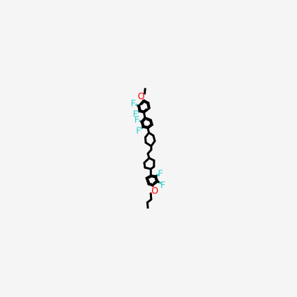 CCCCOc1ccc(C2CCC(CCC3CCC(c4ccc(-c5ccc(OCC)c(F)c5F)c(F)c4F)CC3)CC2)c(F)c1F